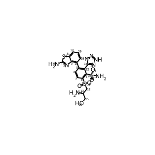 Nc1nc2c(-c3ccc(S(=O)(=O)CC(N)CO)c(S(N)(=O)=O)c3-c3nn[nH]n3)cccc2s1